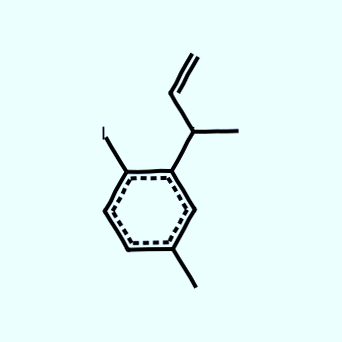 C=C[C](C)c1cc(C)ccc1I